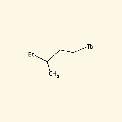 CCC(C)C[CH2][Tb]